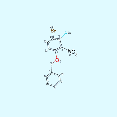 O=[N+]([O-])c1c(OCc2ccccc2)ccc(Br)c1F